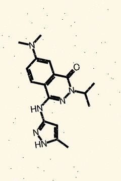 Cc1cc(Nc2nn(C(C)C)c(=O)c3cc(N(C)C)ccc23)n[nH]1